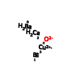 [BaH2].[Bi].[CaH2].[Cu+2].[O-2]